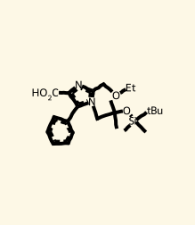 CCOCc1nc(C(=O)O)c(-c2ccccc2)n1CC(C)(C)O[Si](C)(C)C(C)(C)C